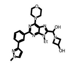 CCn1c(C(O)N2CC(O)C2)nc2c(N3CCOCC3)nc(-c3cccc(-c4ccn(C)n4)c3)nc21